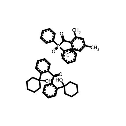 Cc1cc(C)c(C(=O)P(=O)(c2ccccc2)c2ccccc2)c(C)c1.O=C(c1ccccc1C1(O)CCCCC1)c1ccccc1C1(O)CCCCC1